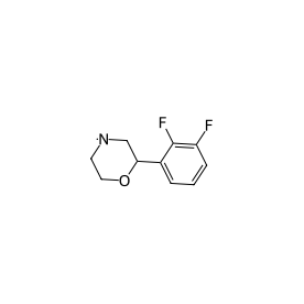 Fc1cccc(C2C[N]CCO2)c1F